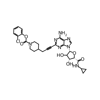 Nc1nc(C#CCC2CCN(C(=O)Oc3ccccc3Cl)CC2)nc2c1ncn2[C@@H]1O[C@H](C(=O)NC2CC2)[C@H](O)C1O